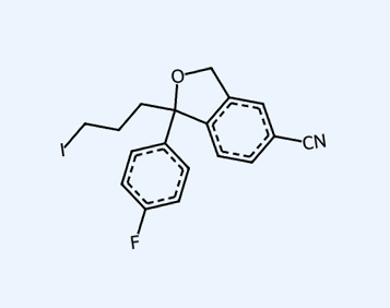 N#Cc1ccc2c(c1)COC2(CCCI)c1ccc(F)cc1